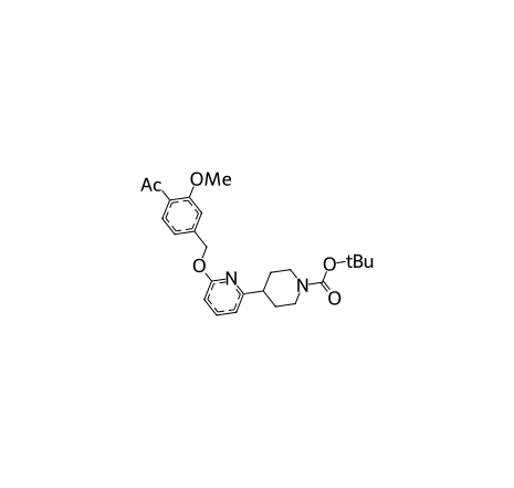 COc1cc(COc2cccc(C3CCN(C(=O)OC(C)(C)C)CC3)n2)ccc1C(C)=O